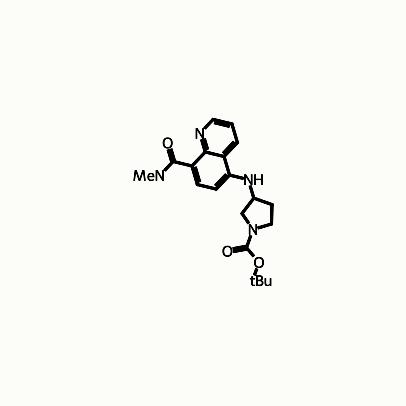 CNC(=O)c1ccc(NC2CCN(C(=O)OC(C)(C)C)C2)c2cccnc12